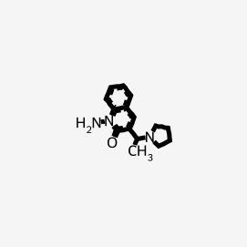 CC(c1cc2ccccc2n(N)c1=O)N1CCCC1